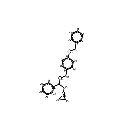 c1ccc(COc2ccc(COC(CN3CC3)c3ccccc3)cc2)cc1